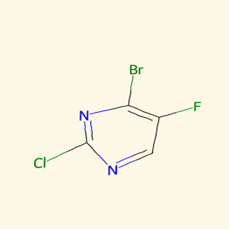 Fc1cnc(Cl)nc1Br